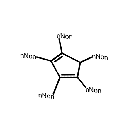 CCCCCCCCCC1=C(CCCCCCCCC)C(CCCCCCCCC)C(CCCCCCCCC)=C1CCCCCCCCC